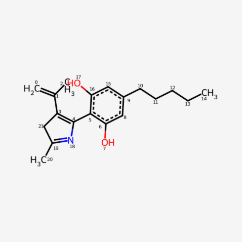 C=C(C)C1=C(c2c(O)cc(CCCCC)cc2O)N=C(C)C1